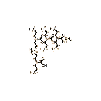 C=CCN(CC=C)C(=O)O.C=CCN(CC=C)C(=O)O.C=CCN(CC=C)C(=O)O.C=CCN(CC=C)C(=O)O.[SiH4]